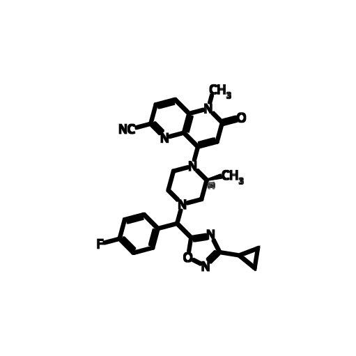 C[C@H]1CN(C(c2ccc(F)cc2)c2nc(C3CC3)no2)CCN1c1cc(=O)n(C)c2ccc(C#N)nc12